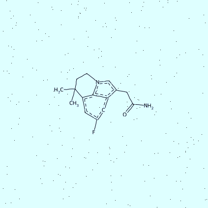 CC1(C)CCn2cc(CC(N)=O)c3cc(F)cc1c32